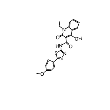 CCn1c(=O)c(C(=O)Nc2nnc(-c3ccc(OC)cc3)s2)c(O)c2ccccc21